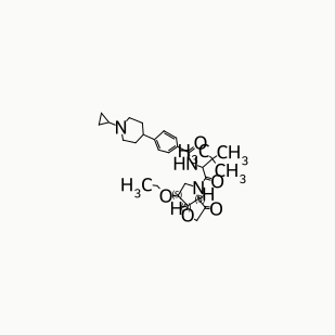 CCO[C@H]1CN(C(=O)C(NC(=O)c2ccc(C3CCN(C4CC4)CC3)cc2)C(C)(C)C)[C@@H]2C(=O)CO[C@H]12